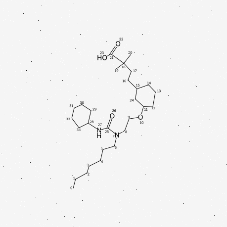 CCCCCCCN(CCOC1CCCC(CCC(C)(C)C(=O)O)C1)C(=O)NC1CCCCC1